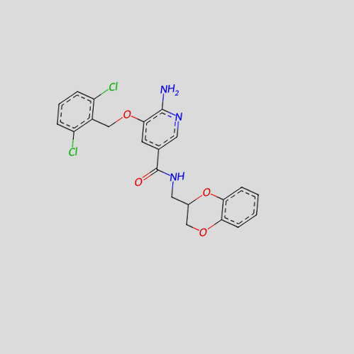 Nc1ncc(C(=O)NCC2COc3ccccc3O2)cc1OCc1c(Cl)cccc1Cl